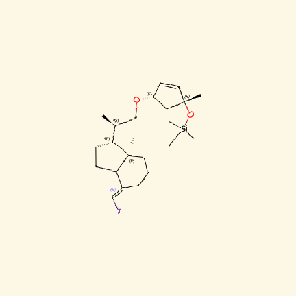 C[C@@H](CO[C@@H]1C=C[C@](C)(O[Si](C)(C)C)C1)[C@H]1CCC2/C(=C/I)CCC[C@@]21C